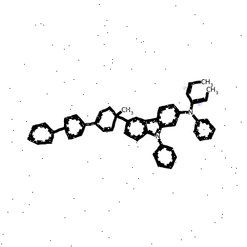 C/C=C\C(=C/C)N(c1ccccc1)c1ccc2c3cc(C4(C)C=CC(c5ccc(-c6ccccc6)cc5)=CC4)ccc3n(-c3ccccc3)c2c1